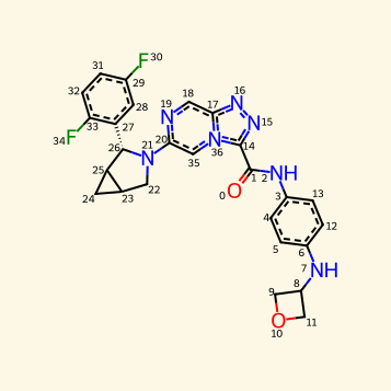 O=C(Nc1ccc(NC2COC2)cc1)c1nnc2cnc(N3CC4CC4[C@@H]3c3cc(F)ccc3F)cn12